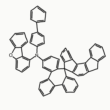 c1ccc(-c2ccc(N(c3ccc4c(c3)-c3ccccc3-c3ccccc3C43c4ccccc4-c4c3ccc3c4-c4ccccc4C3)c3cccc4oc5ccccc5c34)cc2)cc1